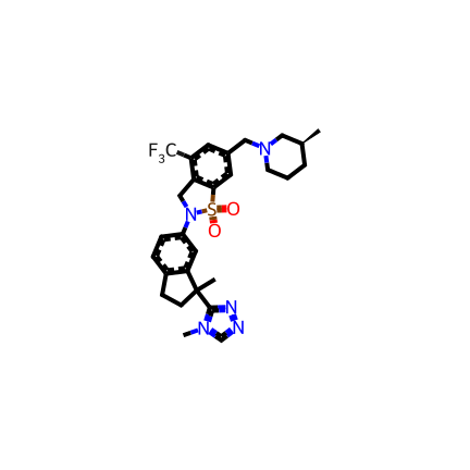 C[C@H]1CCCN(Cc2cc(C(F)(F)F)c3c(c2)S(=O)(=O)N(c2ccc4c(c2)C(C)(c2nncn2C)CC4)C3)C1